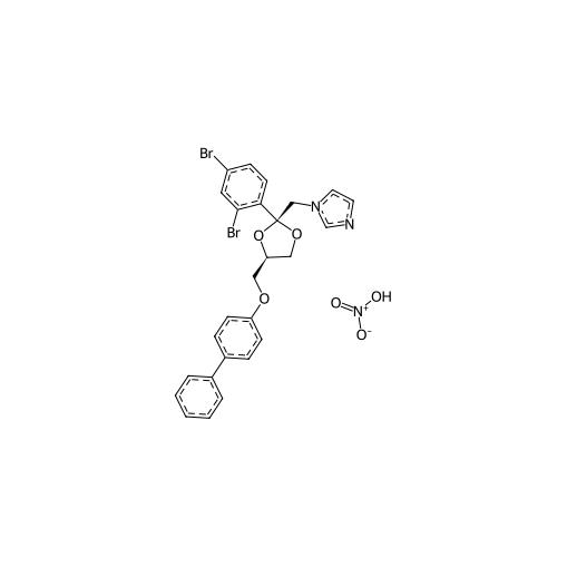 Brc1ccc([C@]2(Cn3ccnc3)OC[C@@H](COc3ccc(-c4ccccc4)cc3)O2)c(Br)c1.O=[N+]([O-])O